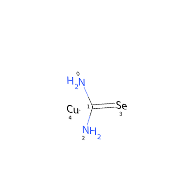 NC(N)=[Se].[Cu]